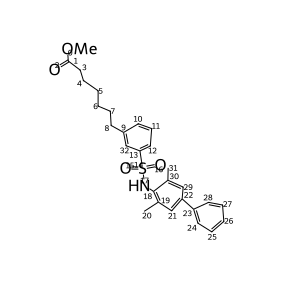 COC(=O)CCCCCCc1cccc(S(=O)(=O)Nc2c(C)cc(-c3ccccc3)cc2C)c1